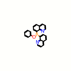 c1ccc(OP(c2cccc3cccnc23)c2cccc3cccnc23)cc1